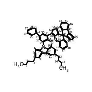 CCCCc1ccc2c(c1)c1cc(CCCC)cc3c1n2-c1cc(-c2ccccc2)cc2c1B3N1c3ccccc3C3(c4ccccc4-c4ccccc43)c3cccc-2c31